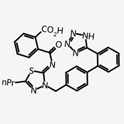 CCCc1nn(Cc2ccc(-c3ccccc3-c3nnn[nH]3)cc2)c(=NC(=O)c2ccccc2C(=O)O)s1